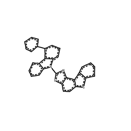 c1ccc(-c2cccc3c2c2ccccc2n3-c2nc3c(ccc4sc5ccccc5c43)s2)cc1